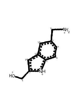 NCc1ccc2[nH]c(CO)cc2c1